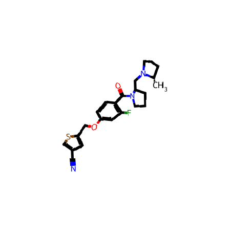 C[C@H]1CCCN1CC1CCCN1C(=O)c1ccc(OCc2cc(C#N)cs2)cc1F